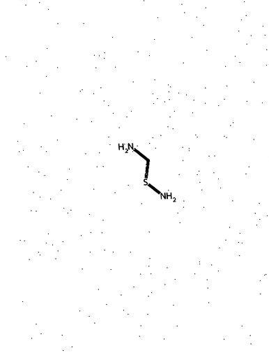 NCSN